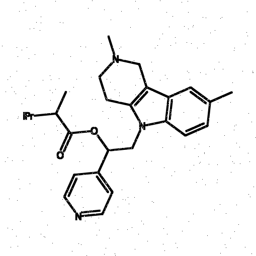 Cc1ccc2c(c1)c1c(n2CC(OC(=O)C(C)C(C)C)c2ccncc2)CCN(C)C1